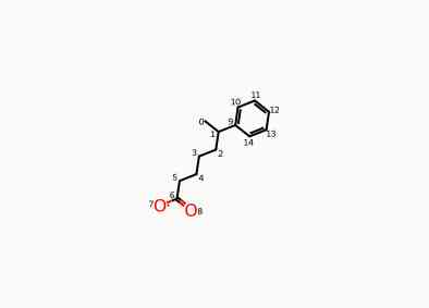 CC(CCCCC([O])=O)c1ccccc1